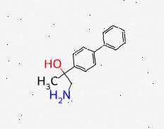 CC(O)(CN)c1ccc(-c2ccccc2)cc1